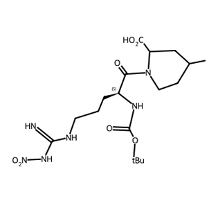 CC1CCN(C(=O)[C@H](CCCNC(=N)N[N+](=O)[O-])NC(=O)OC(C)(C)C)C(C(=O)O)C1